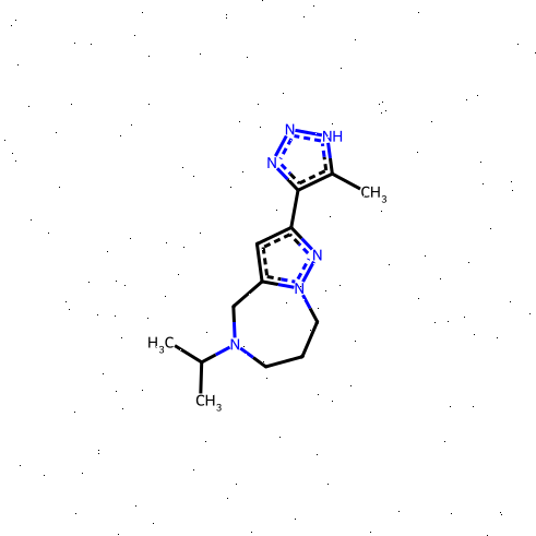 Cc1[nH]nnc1-c1cc2n(n1)CCCN(C(C)C)C2